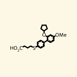 COc1ccc(-c2ccc(SCCCC(=O)O)cc2)c(OC2CCCC2)c1